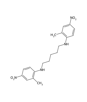 Cc1cc([N+](=O)[O-])ccc1NCCCCCNc1ccc([N+](=O)[O-])cc1C